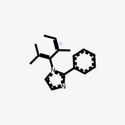 C/C=C(/C)C(=C(C)C)n1ccnc1-c1ccccc1